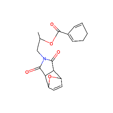 CC(CN1C(=O)C2C3C=CC(O3)C2C1=O)OC(=O)C1=CCCC=C1